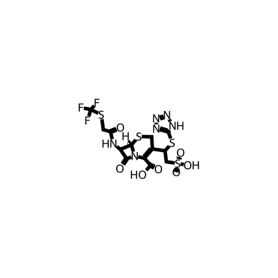 O=C(CSC(F)(F)F)NC1C(=O)N2C(C(=O)O)=C(C(CS(=O)(=O)O)Sc3nnn[nH]3)CS[C@@H]12